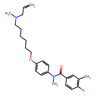 C=CCN(C)CCCCCCOc1ccc(N(C)C(=O)c2ccc(F)c(C)c2)cc1